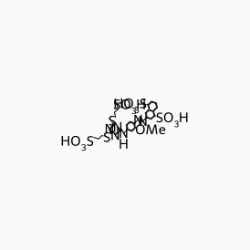 COc1cc(Nc2nc(SCCCS(=O)(=O)O)nc(SCCCS(=O)(=O)O)n2)ccc1N=Nc1cc(S(=O)(=O)O)c2cccc(S(=O)(=O)O)c2c1